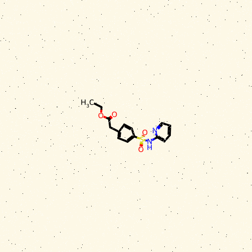 CCOC(=O)Cc1ccc(S(=O)(=O)Nc2ccccn2)cc1